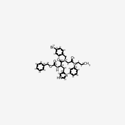 CCCN(C(=O)CN(Cc1ccc(Br)cc1)C(=O)C(Cc1c[nH]cn1)NC(=O)OCc1ccccc1)c1ccccc1